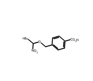 CCCCC(OCc1ccc(C(=O)O)cc1)[N+](=O)[O-]